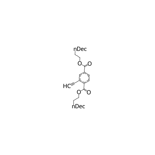 C#Cc1cc(C(=O)OCCCCCCCCCCCC)ccc1C(=O)OCCCCCCCCCCCC